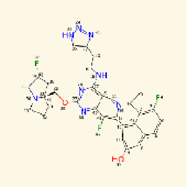 CCc1c(F)ccc2cc(O)cc(-c3ncc4c(NCCc5c[nH]nn5)nc(OC[C@@]56CCCN5C[C@H](F)C6)nc4c3F)c12